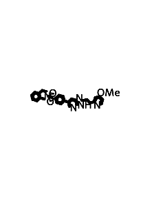 COc1ccnc(CCc2nc3cc(-c4ccc(S(=O)(=O)N5CCc6ccccc6C5)cc4)cnc3[nH]2)c1